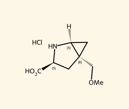 COC[C@]12C[C@@H](C(=O)O)N[C@H]1C2.Cl